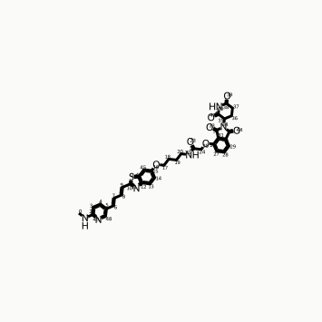 CNc1ccc(/C=C/C=C/c2nc3ccc(OCCCCNC(=O)COc4cccc5c4C(=O)N(C4CCC(=O)NC4=O)C5=O)cc3s2)cn1